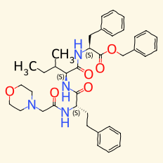 CCC(C)[C@H](NC(=O)[C@H](CCc1ccccc1)NC(=O)CN1CCOCC1)C(=O)N[C@@H](Cc1ccccc1)C(=O)OCc1ccccc1